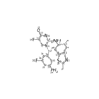 Cc1nc2cc(C)c(Nc3nc(=O)c(F)cn3Cc3cc(F)cc(P)c3)cc2s1